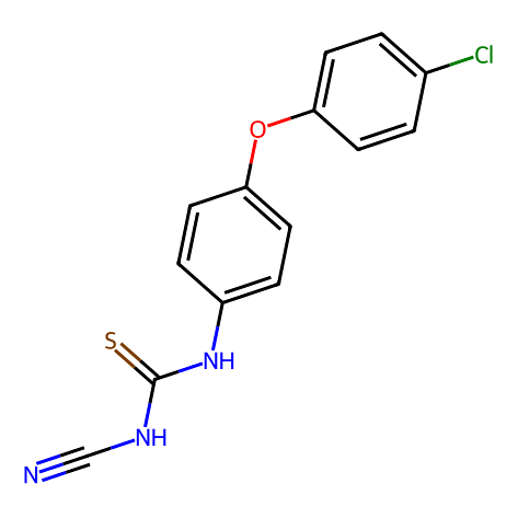 N#CNC(=S)Nc1ccc(Oc2ccc(Cl)cc2)cc1